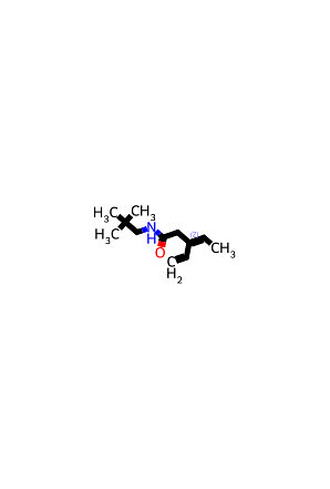 C=C/C(=C\C)CC(=O)NCC(C)(C)C